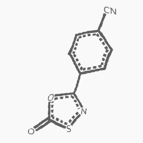 N#Cc1ccc(-c2nsc(=O)o2)cc1